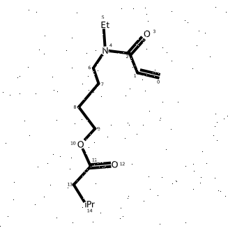 C=CC(=O)N(CC)CCCCOC(=O)CC(C)C